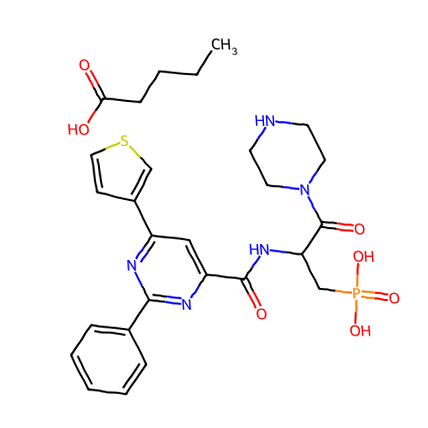 CCCCC(=O)O.O=C(NC(CP(=O)(O)O)C(=O)N1CCNCC1)c1cc(-c2ccsc2)nc(-c2ccccc2)n1